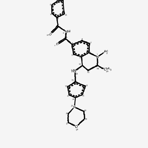 CC(=O)N1c2ccc(C(=O)NC(=O)c3ccccc3)cc2C(Nc2ccc(N3CCOCC3)cc2)CC1C